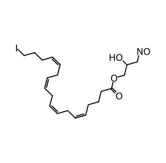 O=NCC(O)COC(=O)CCC/C=C\C/C=C\C/C=C\C/C=C\CCCI